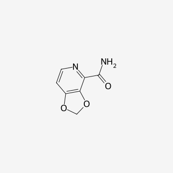 NC(=O)c1nccc2c1OCO2